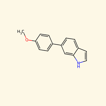 COc1ccc(-c2ccc3cc[nH]c3c2)cc1